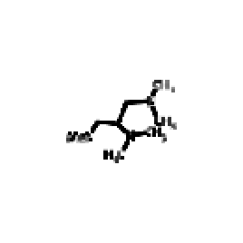 CNCC(CN(C)C)N(C)C